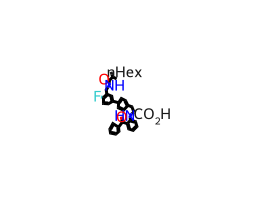 CCCCCCC(C)C(=O)NCc1cc(-c2ccc(CC(Nc3ccccc3C(=O)c3ccccc3)C(=O)O)cc2)ccc1F